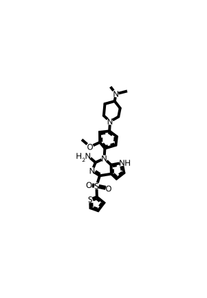 COc1cc(N2CCC(N(C)C)CC2)ccc1N1c2[nH]ccc2C(S(=O)(=O)c2cccs2)=NC1N